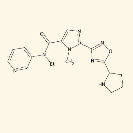 CCN(C(=O)c1cnc(-c2noc(C3CCCN3)n2)n1C)c1cccnc1